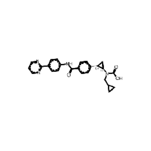 O=C(Nc1ccc(-c2ncccn2)cc1)c1ccc([C@@H]2C[C@H]2N(CC2CC2)C(=O)O)cc1